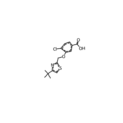 CC(C)(C)c1csc(COc2cc(C(=O)O)ccc2Cl)n1